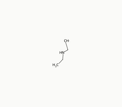 [CH]CNCC